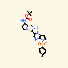 CNC(SN1CCC(NC(=O)OC(C)(C)C)C1)c1cnc2c(ccn2S(=O)(=O)c2ccc(C)cc2)n1